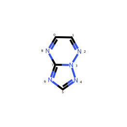 c1cnn2ncnc2n1